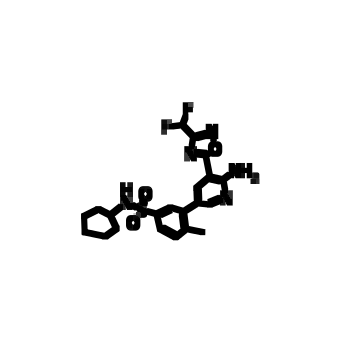 Cc1ccc(S(=O)(=O)NC2CCCCC2)cc1-c1cnc(N)c(-c2nc(C(F)F)no2)c1